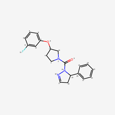 O=C(N1CCC(Oc2cccc(F)c2)C1)N1N=CCC1c1ccccc1